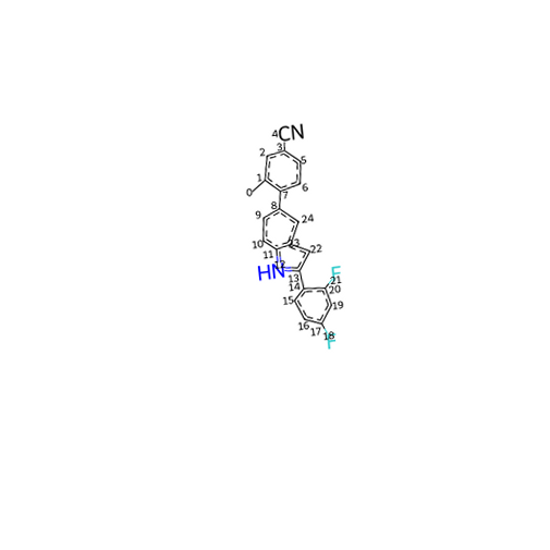 Cc1cc(C#N)ccc1-c1ccc2[nH]c(-c3ccc(F)cc3F)cc2c1